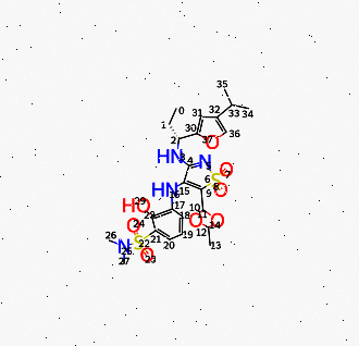 CC[C@@H](NC1=NS(=O)(=O)C(C2OC(C)O2)=C1Nc1cccc(S(=O)(=O)N(C)C)c1O)c1cc(C(C)C)co1